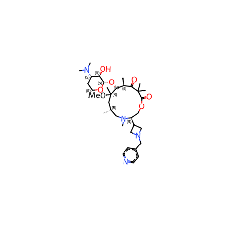 CO[C@]1(C)C[C@@H](C)CN(C)[C@H](C2CN(Cc3ccncc3)C2)COC(=O)C(C)(C)C(=O)[C@H](C)[C@H]1O[C@@H]1O[C@H](C)C[C@H](N(C)C)[C@H]1O